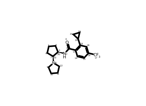 O=C(N[C@@H]1CCC[C@@H]1N1CCCC1)c1ccc(C(F)(F)F)cc1C1CC1